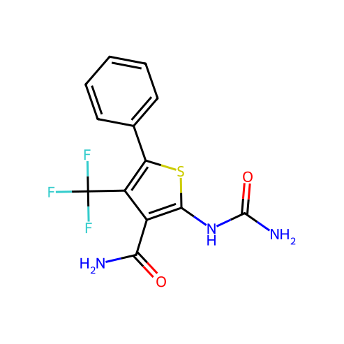 NC(=O)Nc1sc(-c2ccccc2)c(C(F)(F)F)c1C(N)=O